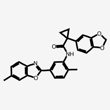 Cc1ccc2nc(-c3ccc(C)c(NC(=O)C4(c5ccc6c(c5)OCO6)CC4)c3)oc2c1